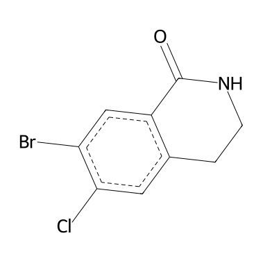 O=C1NCCc2cc(Cl)c(Br)cc21